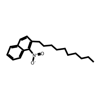 CCCCCCCCCCc1ccc2ccccc2c1[N+](=O)[O-]